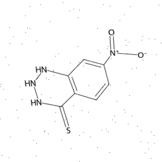 O=[N+]([O-])c1ccc2c(c1)NNNC2=S